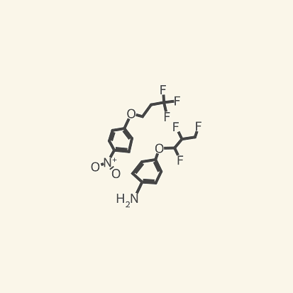 Nc1ccc(OC(F)C(F)CF)cc1.O=[N+]([O-])c1ccc(OCCC(F)(F)F)cc1